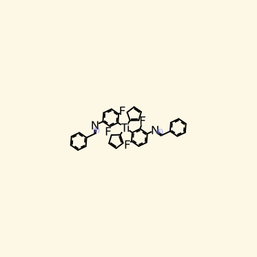 Fc1ccc(/N=C/c2ccccc2)c(F)[c]1[Ti]([C]1=CC=CC1)([C]1=CC=CC1)[c]1c(F)ccc(/N=C/c2ccccc2)c1F